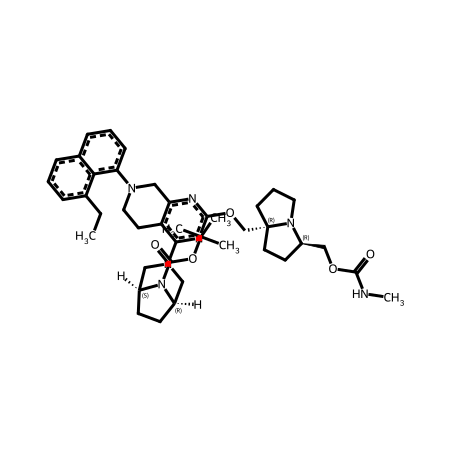 CCc1cccc2cccc(N3CCc4c(nc(OC[C@]56CCCN5[C@@H](COC(=O)NC)CC6)nc4N4C[C@H]5CC[C@@H](C4)N5C(=O)OC(C)(C)C)C3)c12